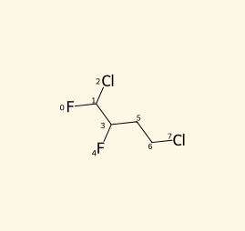 FC(Cl)C(F)CCCl